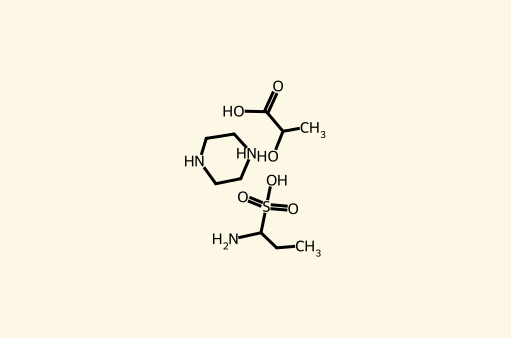 C1CNCCN1.CC(O)C(=O)O.CCC(N)S(=O)(=O)O